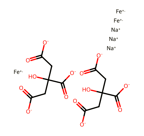 O=C([O-])CC(O)(CC(=O)[O-])C(=O)[O-].O=C([O-])CC(O)(CC(=O)[O-])C(=O)[O-].[Fe+].[Fe+].[Fe+].[Na+].[Na+].[Na+]